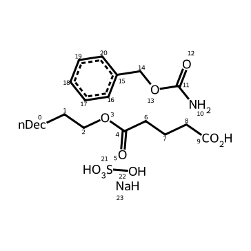 CCCCCCCCCCCCOC(=O)CCCC(=O)O.NC(=O)OCc1ccccc1.O=S(=O)(O)O.[NaH]